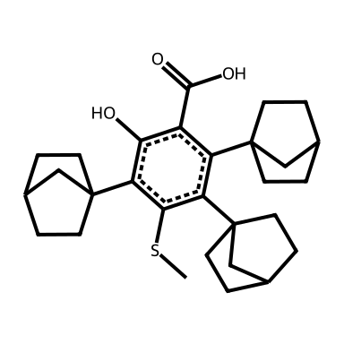 CSc1c(C23CCC(CC2)C3)c(O)c(C(=O)O)c(C23CCC(CC2)C3)c1C12CCC(CC1)C2